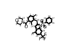 Cc1ccc(C(=O)N2CCOCC2)c(C)c1Cc1cc2c(C)cc(C(F)(F)F)cc2n1S(=O)(=O)c1ccccc1